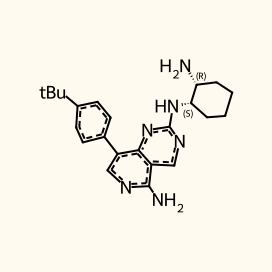 CC(C)(C)c1ccc(-c2cnc(N)c3cnc(N[C@H]4CCCC[C@H]4N)nc23)cc1